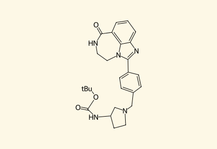 CC(C)(C)OC(=O)NC1CCN(Cc2ccc(-c3nc4cccc5c4n3CCNC5=O)cc2)C1